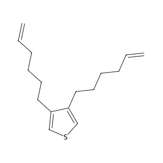 C=CCCCCc1cscc1CCCCC=C